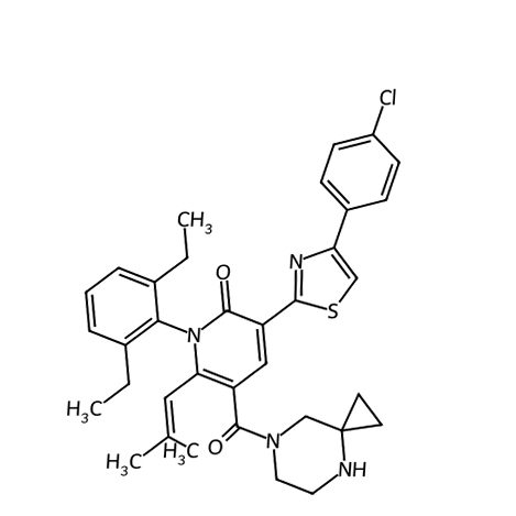 CCc1cccc(CC)c1-n1c(C=C(C)C)c(C(=O)N2CCNC3(CC3)C2)cc(-c2nc(-c3ccc(Cl)cc3)cs2)c1=O